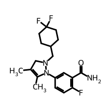 CC1=C(C)N(c2ccc(F)c(C(N)=O)c2)N(CC2CCC(F)(F)CC2)C1